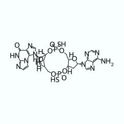 Nc1ncnc2c1ncn2[C@H]1C[C@@H]2OP(=O)(S)OC[C@H]3O[C@@H](n4cnc5c(=O)[nH]c6nccn6c54)[C@H](OP(=O)(S)OC[C@H]2O1)[C@@H]3O